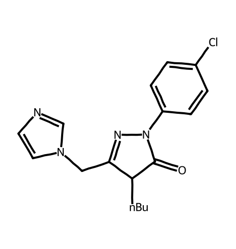 CCCCC1C(=O)N(c2ccc(Cl)cc2)N=C1Cn1ccnc1